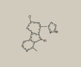 CCn1c2c(-c3cc[nH]n3)cc(Cl)cc2c2ccnc(C)c21